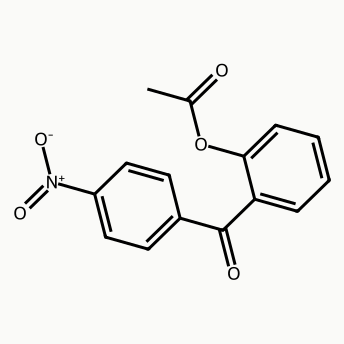 CC(=O)Oc1ccccc1C(=O)c1ccc([N+](=O)[O-])cc1